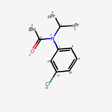 CCCC(CCC)N(C(=O)C(C)CC)c1cccc(Cl)c1